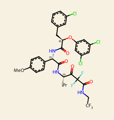 COc1ccc([C@H](NC(=O)[C@@H](Cc2cccc(Cl)c2)Oc2cc(Cl)cc(Cl)c2)C(=O)N[C@H](C(=O)C(F)(F)C(=O)NCC(F)(F)F)C(C)C)cc1